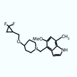 COc1cc(C)c2[nH]ccc2c1CN1CCC(OCC2CC2(F)F)CC1